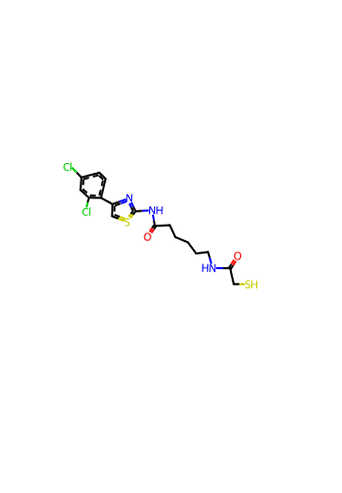 O=C(CS)NCCCCCC(=O)Nc1nc(-c2ccc(Cl)cc2Cl)cs1